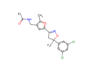 CCC(=O)NCc1cc(C2=NOC(c3cc(Cl)cc(Cl)c3)(C(F)(F)F)C2)oc1C